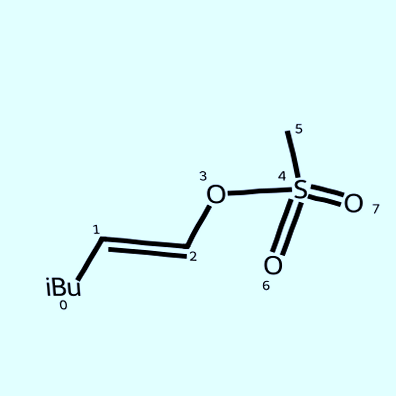 CCC(C)C=COS(C)(=O)=O